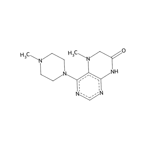 CN1CCN(c2ncnc3c2N(C)CC(=O)N3)CC1